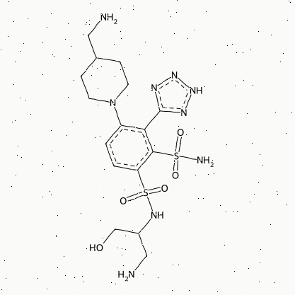 NCC1CCN(c2ccc(S(=O)(=O)NC(CN)CO)c(S(N)(=O)=O)c2-c2nn[nH]n2)CC1